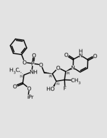 CC(C)OC(=O)[C@H](C)NP(=O)(OC[C@H]1O[C@@H](n2ccc(=O)[nH]c2=O)C(C)(F)[C@H]1O)Oc1ccccc1